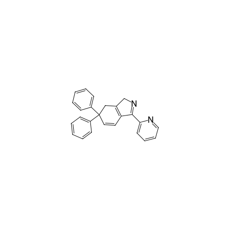 C1=CC(c2ccccc2)(c2ccccc2)CC2=C1C(c1ccccn1)=NC2